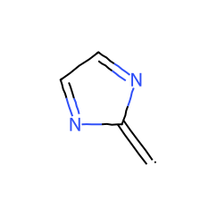 [CH]=C1N=CC=N1